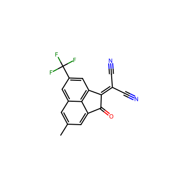 Cc1cc2cc(C(F)(F)F)cc3c(=C(C#N)C#N)c(=O)c(c1)c23